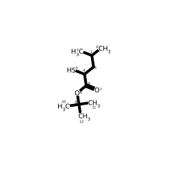 CC(C)CC(S)C(=O)OC(C)(C)C